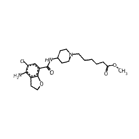 COC(=O)CCCCCN1CCC(NC(=O)c2cc(Cl)c(N)c3c2OCC3)CC1